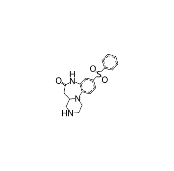 O=C1CC2CNCCN2c2ccc(S(=O)(=O)c3ccccc3)cc2N1